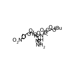 C[C@H]1[C@H](NC(=O)C(=NOC(C)(C)C(=O)OCc2ccc([N+](=O)[O-])cc2)c2csc(N)n2)C(=O)N1OCC(=O)OC(C)(C)C